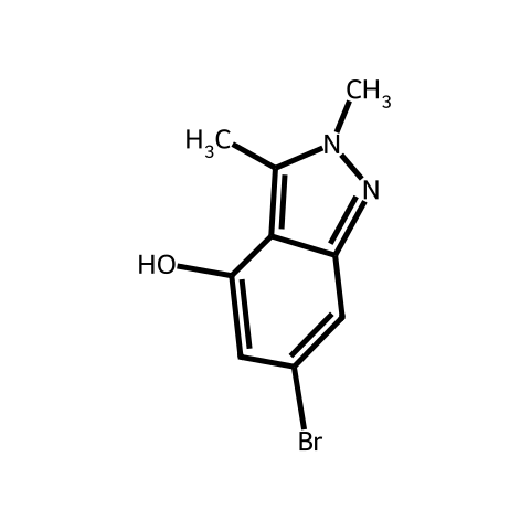 Cc1c2c(O)cc(Br)cc2nn1C